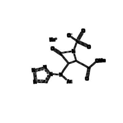 COC(=O)C1C(N(C(C)=O)n2cnnn2)C(=O)N1S(=O)(=O)[O-].[Na+]